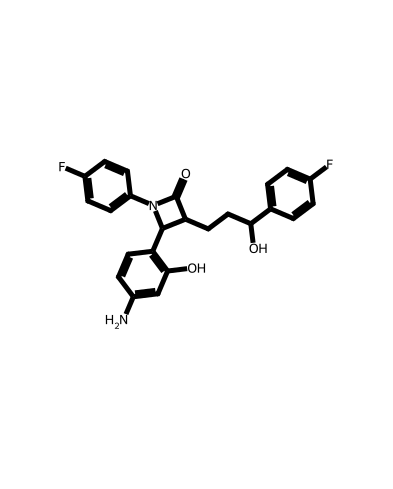 Nc1ccc(C2C(CCC(O)c3ccc(F)cc3)C(=O)N2c2ccc(F)cc2)c(O)c1